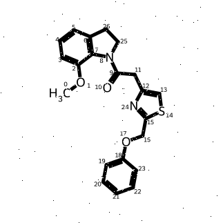 COc1cccc2c1N(C(=O)Cc1csc(COc3ccccc3)n1)CC2